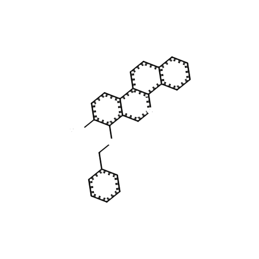 COc1ccc2c(cnc3c4ccccc4ccc23)c1OCc1ccccc1